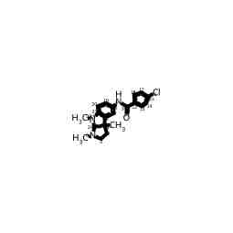 CN1CCC2(C)c3cc(NC(=O)c4ccc(Cl)cc4)ccc3N(C)C12